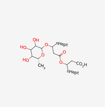 CCCCCCCC(CC(=O)O)OC(=O)CC(CCCCCCC)OC1O[C@H](C)C(O)C(O)C1O